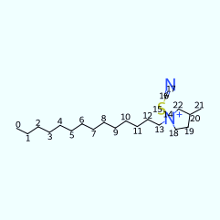 CCCCCCCCCCCCCC[N+]1(SC#N)CCC(C)C1